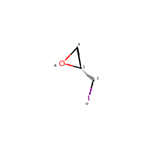 IC[C@H]1CO1